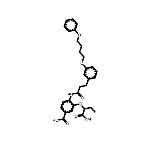 CCC(Oc1cc(C(=O)O)ccc1NC(=O)CCc1cccc(OCCCCOc2ccccc2)c1)C(=O)O